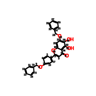 O=c1cc(-c2ccc(OCc3ccccc3)cc2)oc2cc(OCc3ccccc3)c(O)c(O)c12